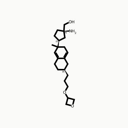 CC1([C@H]2CC[C@](N)(CO)C2)C=C2CC[C@H](CCCOC3COC3)CC2=CC1